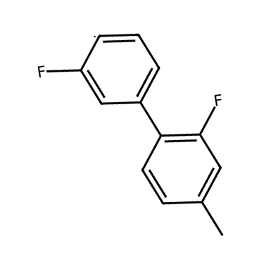 Cc1ccc(-c2cc[c]c(F)c2)c(F)c1